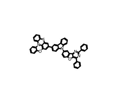 c1ccc(-c2nc(-c3ccccc3)c3oc4ccc(-n5c6ccccc6c6cc(-c7cc8c9c(c7)Sc7ccccc7N9c7ccccc7O8)ccc65)cc4c3n2)cc1